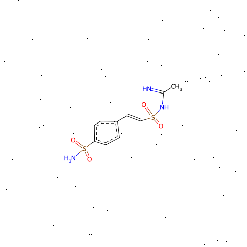 CC(=N)NS(=O)(=O)C=Cc1ccc(S(N)(=O)=O)cc1